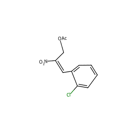 CC(=O)OCC(=Cc1ccccc1Cl)[N+](=O)[O-]